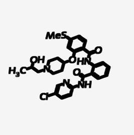 CSc1ccc(C(=O)Nc2ccccc2C(=O)Nc2ccc(Cl)cn2)c(OC2CCN(CC(C)O)CC2)c1